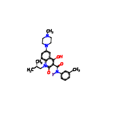 Cc1cccc(N(I)C(=O)c2c(O)c3cc(N4CCN(C)CC4)ccc3n(CC(C)C)c2=O)c1